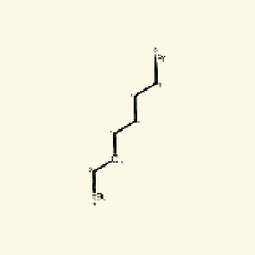 CC(C)CCCCOCC(C)(C)C